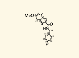 COc1ccc2nc(C(=O)NCc3ccc(F)cc3)sc2c1